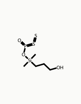 C[Si](C)(CCCO)OP(=O)=S=S